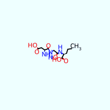 CCCC[C@H](NC(=O)CNC(=O)[C@@H](N)CC(=O)O)C(=O)O